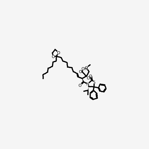 CCCCCCCC1(CCCCCC/C=C/[C@H](C(=O)N2C(=O)SC(c3ccccc3)(c3ccccc3)[C@@H]2C(C)C)[C@@](O)(COC)C(=O)O)OCCO1